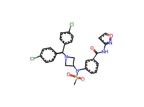 CS(=O)(=O)N(c1cccc(C(=O)Nc2ccon2)c1)C1CN(C(c2ccc(Cl)cc2)c2ccc(Cl)cc2)C1